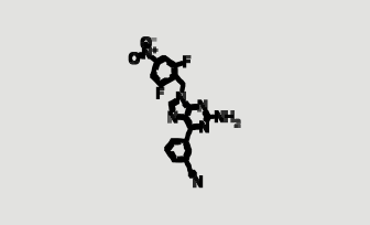 N#Cc1cccc(-c2nc(N)nc3c2ncn3Cc2c(F)cc([N+](=O)[O-])cc2F)c1